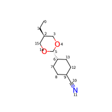 CC[C@H]1CO[C@H](C2CCC(C#N)CC2)OC1